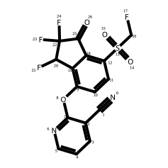 N#Cc1cccnc1Oc1ccc(S(=O)(=O)CF)c2c1C(F)C(F)(F)C2=O